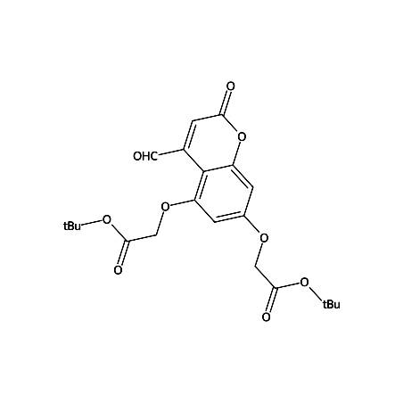 CC(C)(C)OC(=O)COc1cc(OCC(=O)OC(C)(C)C)c2c(C=O)cc(=O)oc2c1